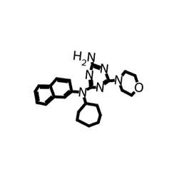 Nc1nc(N2CCOCC2)nc(N(c2ccc3ccccc3c2)C2CCCCCC2)n1